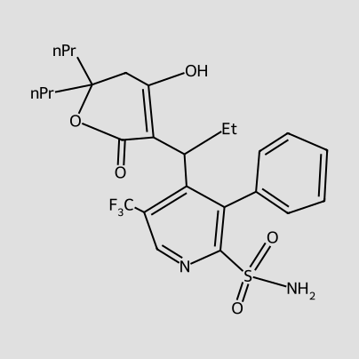 CCCC1(CCC)CC(O)=C(C(CC)c2c(C(F)(F)F)cnc(S(N)(=O)=O)c2-c2ccccc2)C(=O)O1